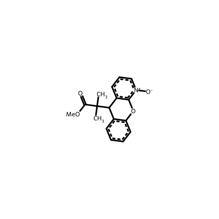 COC(=O)C(C)(C)C1c2ccccc2Oc2c1ccc[n+]2[O-]